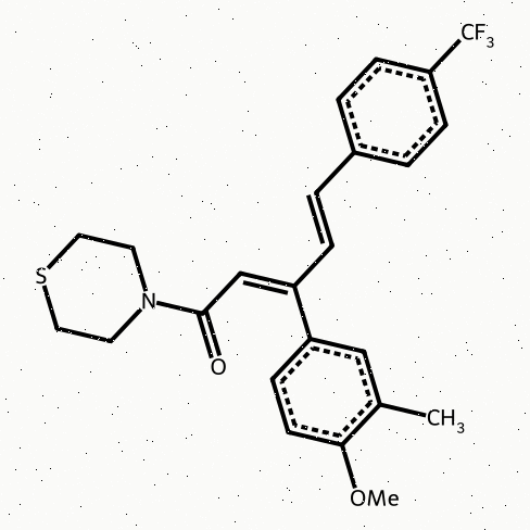 COc1ccc(C(=C\C(=O)N2CCSCC2)/C=C/c2ccc(C(F)(F)F)cc2)cc1C